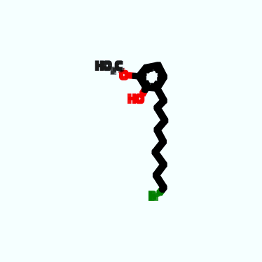 O=C(O)Oc1cccc(CCCCCCCCCBr)c1O